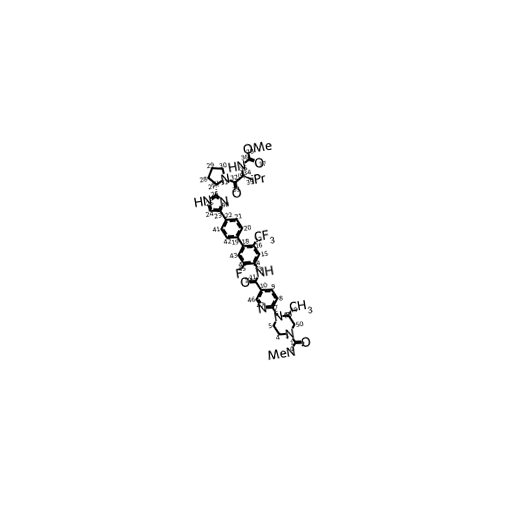 CNC(=O)N1CCN(c2ccc(C(=O)Nc3cc(C(F)(F)F)c(-c4ccc(-c5c[nH]c([C@@H]6CCCN6C(=O)[C@@H](NC(=O)OC)C(C)C)n5)cc4)cc3F)cn2)[C@H](C)C1